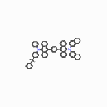 CC(C)(c1ccccc1)c1ccc(N(c2ccccc2)c2c3ccccc3c(-c3ccc(-c4c5ccccc5c(N(c5ccc6c(c5)CCCC6)c5ccc6c(c5)CCCC6)c5ccccc45)cc3)c3ccccc23)cc1